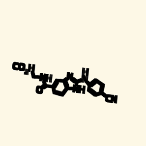 N#Cc1ccc(Nc2nc3cc(C(=O)NCC(=O)O)ccc3[nH]2)cc1